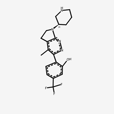 Cc1c(-c2ccc(C(F)(F)F)cc2O)nnc2c1CCN2[C@@H]1CCCNC1